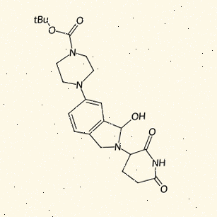 CC(C)(C)OC(=O)N1CCN(c2ccc3c(c2)C(O)N(C2CCC(=O)NC2=O)C3)CC1